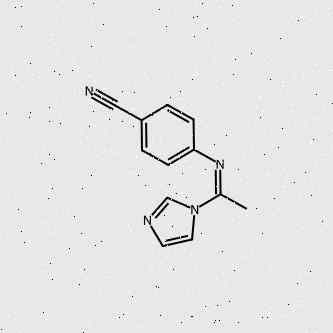 CC(=Nc1ccc(C#N)cc1)n1ccnc1